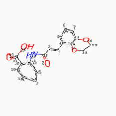 O=C(C=Cc1cccc2c1OCCO2)Nc1ccccc1C(=O)O